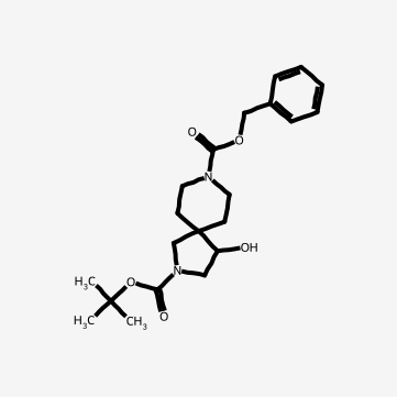 CC(C)(C)OC(=O)N1CC(O)C2(CCN(C(=O)OCc3ccccc3)CC2)C1